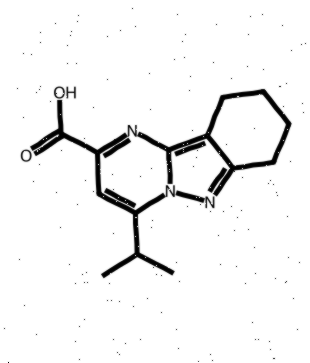 CC(C)c1cc(C(=O)O)nc2c3c(nn12)CCCC3